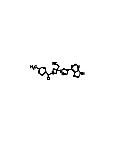 Cc1ccc(C(=O)N2CC(CC#N)(n3cc(-c4ncnc5[nH]ccc45)cn3)C2)cc1